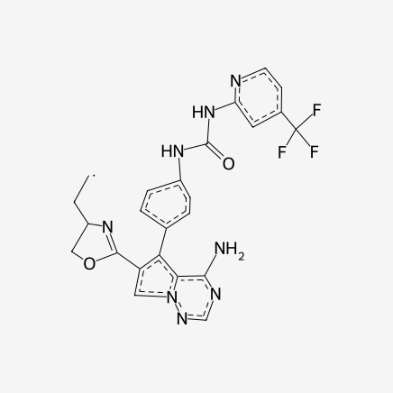 [CH2]CC1COC(c2cn3ncnc(N)c3c2-c2ccc(NC(=O)Nc3cc(C(F)(F)F)ccn3)cc2)=N1